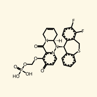 O=C1c2c(OCOP(=O)(O)O)c(=O)ccn2N([C@@H]2c3ccccc3SCc3c2ccc(F)c3F)[C@@H]2CC=CCN12